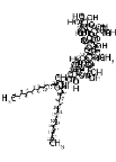 CCCCCCCCCCCCC/C=C/[C@@H](O)[C@H](CO[C@@H]1OC(CO)[C@@H](O[C@@H]2OC(CO)[C@H](O)[C@H](O[C@@H]3OC(CO)[C@@H](O)[C@H](O[C@@H]4OC(CO)[C@H](O)[C@H](O[C@@H]5OC(CO)[C@@H](O[C@@H]6OC(CO)[C@H](O)[C@H](O)C6O)[C@H](O)C5NC(C)=O)C4O)C3NC(C)=O)C2O)[C@H](O)C1O)NC(=O)CCCCCCCCCCCCCCCCC